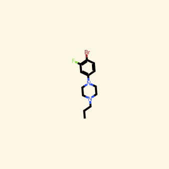 CCCN1CCN(c2ccc(Br)c(F)c2)CC1